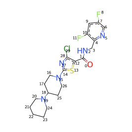 O=C(NCc1ncc(F)cc1F)c1sc(N2CCC(N3CCCCC3)CC2)nc1Cl